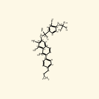 CCCc1ccc(-c2ccc3cc(OC(F)(F)c4ccc(OC(F)(F)F)c(F)c4)c(F)c(F)c3c2F)cc1